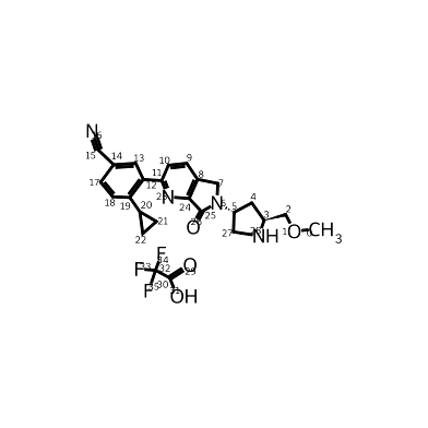 COC[C@@H]1C[C@@H](N2Cc3ccc(-c4cc(C#N)ccc4C4CC4)nc3C2=O)CN1.O=C(O)C(F)(F)F